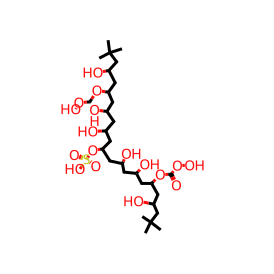 CC(C)(C)CC(O)CC(CC(O)CC(O)CC(CC(O)CC(O)CC(CC(O)CC(C)(C)C)OC(=O)OO)OS(=O)(=O)O)OCOO